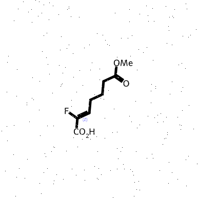 COC(=O)CCC/C=C(\F)C(=O)O